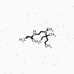 C=CC(=O)NCCN(C)C(C)(CC)CCC